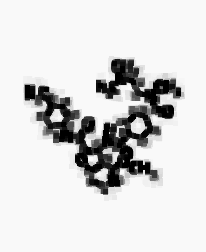 COc1nccc2oc(C(=O)Nc3ccc(C)cc3)c(NC(=O)[C@H]3CC[C@H](C(=O)N(C)CCN(C)C)CC3)c12